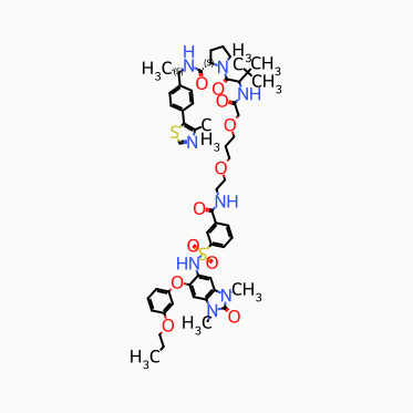 CCCOc1cccc(Oc2cc3c(cc2NS(=O)(=O)c2cccc(C(=O)NCCOCCCOCC(=O)NC(C(=O)N4CCC[C@H]4C(=O)N[C@@H](C)c4ccc(-c5scnc5C)cc4)C(C)(C)C)c2)n(C)c(=O)n3C)c1